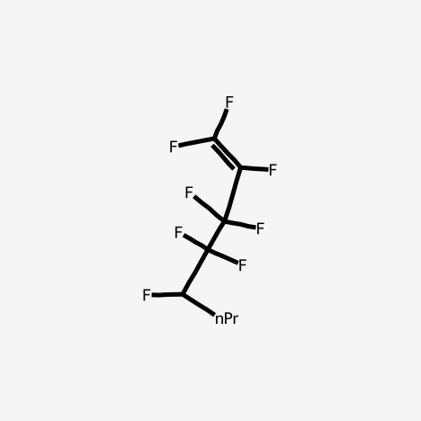 CCCC(F)C(F)(F)C(F)(F)C(F)=C(F)F